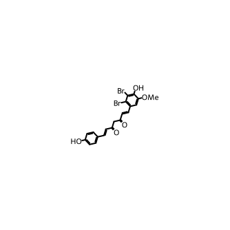 COc1cc(C=CC(=O)CC(=O)C=Cc2ccc(O)cc2)c(Br)c(Br)c1O